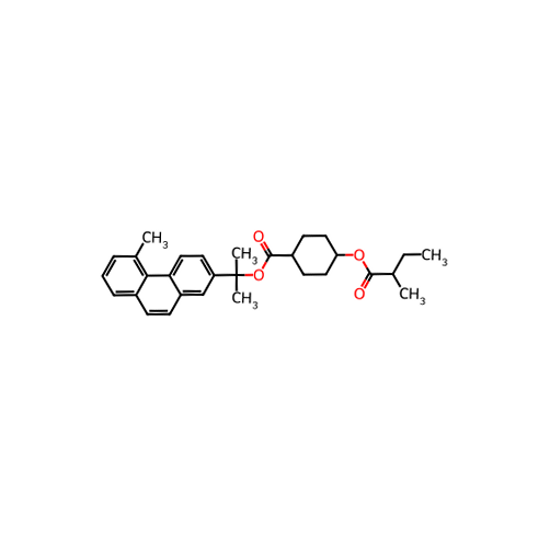 CCC(C)C(=O)OC1CCC(C(=O)OC(C)(C)c2ccc3c(ccc4cccc(C)c43)c2)CC1